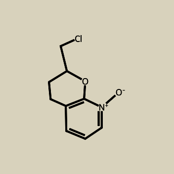 [O-][n+]1cccc2c1OC(CCl)CC2